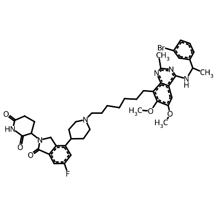 COc1cc2c(NC(C)c3cccc(Br)c3)nc(C)nc2c(CCCCCCCN2CCC(c3cc(F)cc4c3CN(C3CCC(=O)NC3=O)C4=O)CC2)c1OC